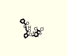 O=C(OCC[C@H](O)c1ccccc1OCc1ccc2sc(Cl)c(Cl)c2n1)c1ccccc1